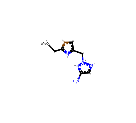 COCc1nc(Cn2ncc(N)n2)cs1